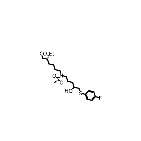 CCOC(=O)CCCCCCN(CCCC(O)CSc1ccc(F)cc1)S(C)(=O)=O